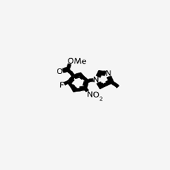 COC(=O)c1cc(-n2cnc(C)c2)c([N+](=O)[O-])cc1F